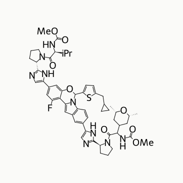 COC(=O)NC(C(=O)N1CCC[C@H]1c1ncc(-c2ccc3c(c2)cc2n3C(c3ccc(CC4CC4)s3)Oc3cc(-c4cnc([C@@H]5CCCN5C(=O)[C@@H](NC(=O)OC)C(C)C)[nH]4)cc(F)c3-2)[nH]1)C1C[C@@H](C)O[C@@H](C)C1